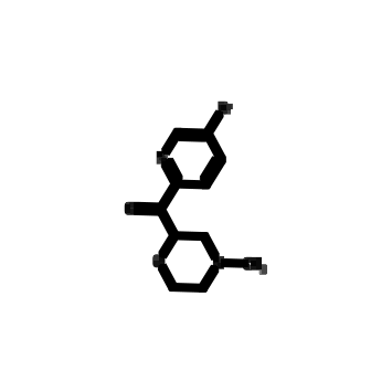 CN1CCOC(C(=O)c2ccc(Br)cn2)C1